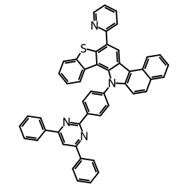 c1ccc(-c2cc(-c3ccccc3)nc(-c3ccc(-n4c5ccc6ccccc6c5c5cc(-c6ccccn6)c6sc7ccccc7c6c54)cc3)n2)cc1